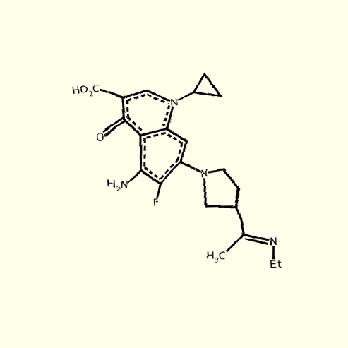 CCN=C(C)C1CCN(c2cc3c(c(N)c2F)c(=O)c(C(=O)O)cn3C2CC2)C1